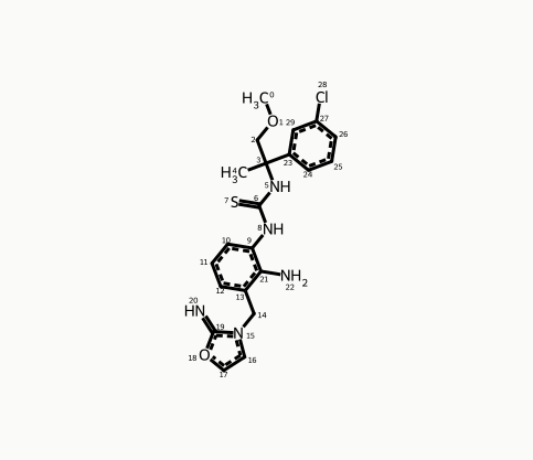 COCC(C)(NC(=S)Nc1cccc(Cn2ccoc2=N)c1N)c1cccc(Cl)c1